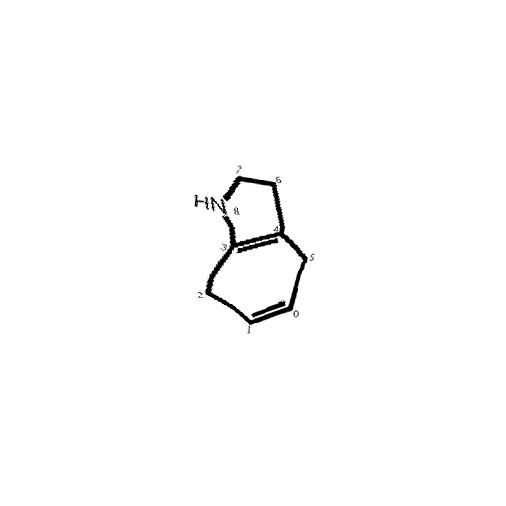 C1=CCC2=C(C1)CCN2